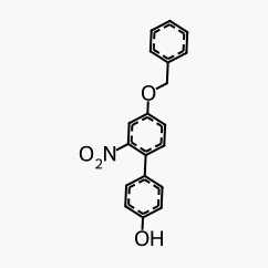 O=[N+]([O-])c1cc(OCc2ccccc2)ccc1-c1ccc(O)cc1